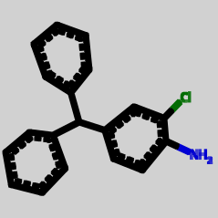 Nc1ccc(C(c2ccccc2)c2ccccc2)cc1Cl